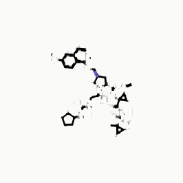 C=C[C@@H]1C[C@]1(NC(=O)[C@@H]1C/C(=C/Oc2nccc3cc(OC)ccc23)CN1C(=O)CNC(=O)NC1CCCC1)C(=O)NS(=O)(=O)C1(C)CC1